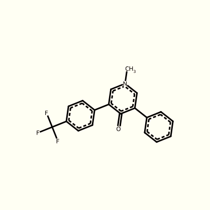 Cn1cc(-c2ccccc2)c(=O)c(-c2ccc(C(F)(F)F)cc2)c1